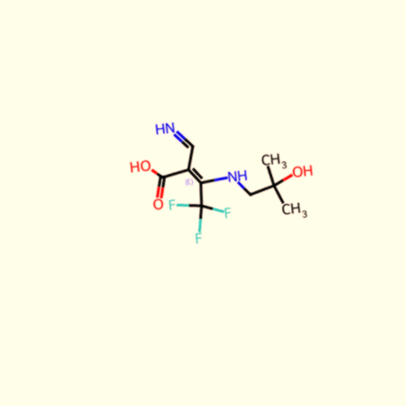 CC(C)(O)CN/C(=C(\C=N)C(=O)O)C(F)(F)F